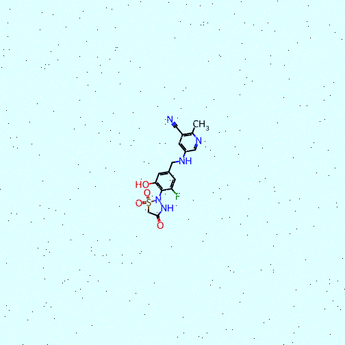 Cc1ncc(NCc2cc(O)c(N3NC(=O)CS3(=O)=O)c(F)c2)cc1C#N